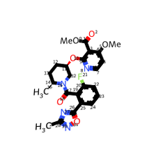 COC(=O)c1c(OC)ccnc1O[C@@H]1CC[C@@H](C)N(C(=O)c2c(F)cccc2-c2nc(C)no2)C1